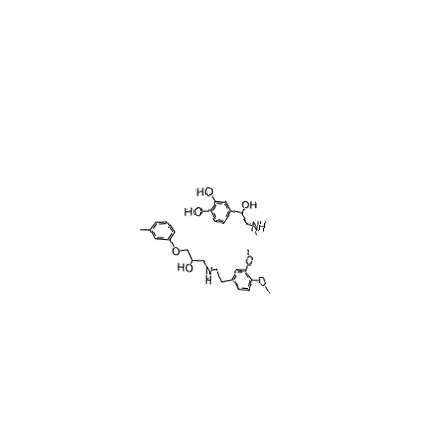 CNC[C@H](O)c1ccc(O)c(O)c1.COc1ccc(CCNCC(O)COc2cccc(C)c2)cc1OC